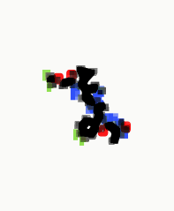 Cc1nonc1C(=O)N[C@H](c1cn2ncc([C@H](NC(=O)COC(F)F)C3CC3)cc2n1)C1CCC(F)(F)CC1